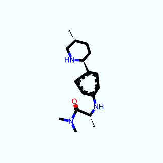 C[C@@H]1CC[C@@H](c2ccc(N[C@H](C)C(=O)N(C)C)cc2)NC1